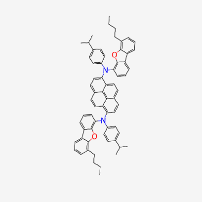 CCCCc1cccc2c1oc1c(N(c3ccc(C(C)C)cc3)c3ccc4ccc5c(N(c6ccc(C(C)C)cc6)c6cccc7c6oc6c(CCCC)cccc67)ccc6ccc3c4c65)cccc12